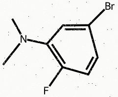 CN(C)c1cc(Br)ccc1F